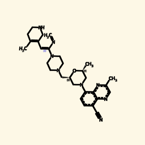 C=N/C(=C\C1=C(C)CCNC1)N1CCN(C[C@H]2CN(c3ccc(C#N)c4ncc(C)nc34)C[C@@H](C)O2)CC1